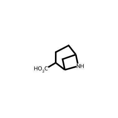 O=C(O)C1CCC2CC1N2